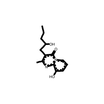 CCCC(O)Cc1c(C)nc2c(O)cccn2c1=O